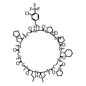 CCC[C@H]1C(=O)N[C@@H]([C@@H](C)CC)C(=O)N(C)CC(=O)N(C)CC(=O)N(C)[C@@H](CC2CCCC2)C(=O)N(C)CC(=O)N[C@@H](CCc2ccc(C(F)(F)F)c(Cl)c2)C(=O)N2CCC[C@H]2C(=O)NC2(CCCC2)C(=O)N(C)[C@@H](C2CCCCC2)C(=O)N(C)[C@H](C(=O)N2CCCC2)CC(=O)N1C